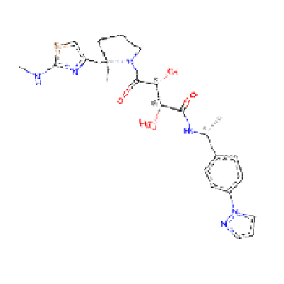 CNc1nc(C2(C)CCCN2C(=O)[C@H](O)[C@@H](O)C(=O)N[C@H](C)c2ccc(-n3cccn3)cc2)cs1